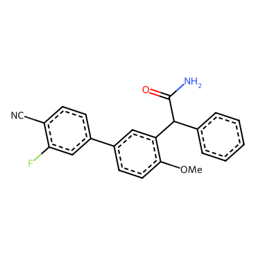 COc1ccc(-c2ccc(C#N)c(F)c2)cc1C(C(N)=O)c1ccccc1